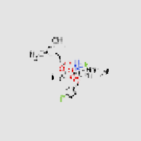 C=C1CC(C)CC(CCC(=O)O[C@@H](C)OC(=O)[C@@]2(N)C3[C@@H](C[C@H]2OCc2ccc(F)cc2)[C@]3(F)C(=O)O)C1